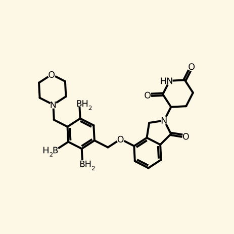 Bc1cc(COc2cccc3c2CN(C2CCC(=O)NC2=O)C3=O)c(B)c(B)c1CN1CCOCC1